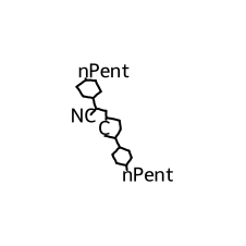 CCCCCC1CCC(C(C#N)CC2CCC(C3CCC(CCCCC)CC3)CC2)CC1